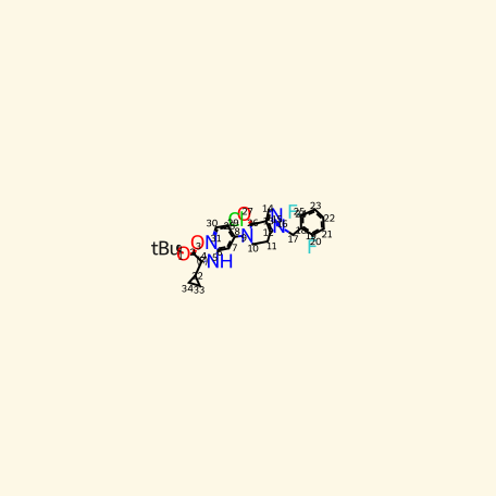 CC(C)(C)OC(=O)[C@H](Nc1cc(N2CCc3c(cnn3Cc3c(F)cccc3F)C2=O)c(Cl)cn1)C1CC1